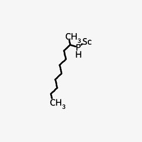 CCCCCCCCC(C)[PH][Sc]